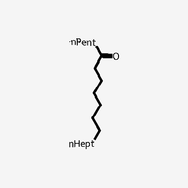 CCCC[CH]C(=O)CCCCCCCCCCCCC